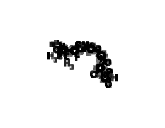 CCCn1cc(-c2cc(F)c(CCN3CCC(OC4CCN(C(=O)c5ccc(Cl)c(N6CCC(=O)NC6=O)c5)CC4)CC3)c(OC)c2)c(C)c(C)c1=O